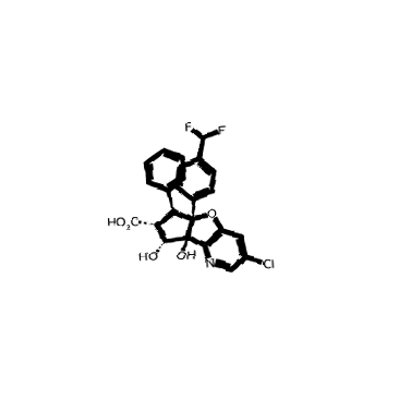 O=C(O)[C@H]1[C@@H](O)[C@@]2(O)c3ncc(Cl)cc3O[C@@]2(c2ccc(C(F)F)cc2)[C@@H]1c1ccccc1